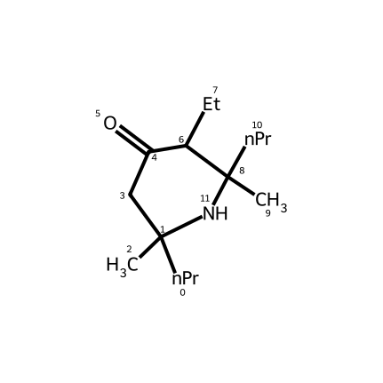 CCCC1(C)CC(=O)C(CC)C(C)(CCC)N1